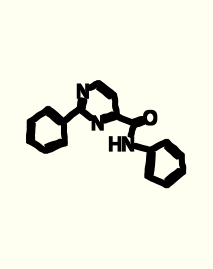 O=C(Nc1ccccc1)c1ccnc(-c2ccccc2)n1